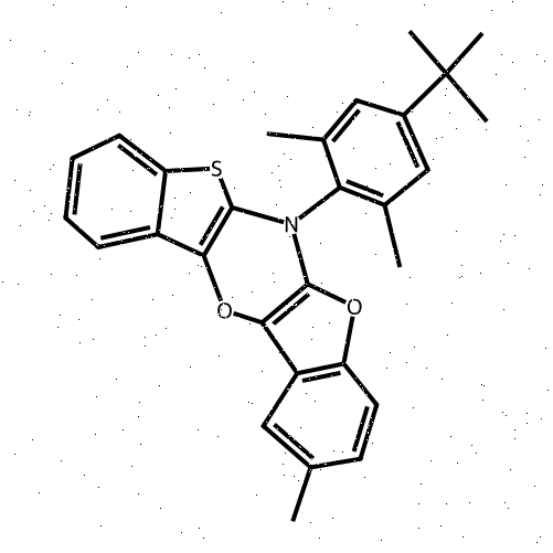 Cc1ccc2oc3c(c2c1)Oc1c(sc2ccccc12)N3c1c(C)cc(C(C)(C)C)cc1C